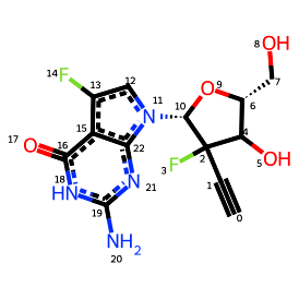 C#CC1(F)C(O)[C@@H](CO)O[C@H]1n1cc(F)c2c(=O)[nH]c(N)nc21